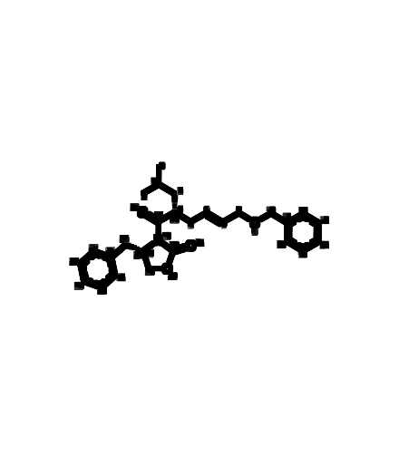 CC(C)C[C@H](CC=CCOCc1ccccc1)C(=O)N1C(=O)OC[C@@H]1Cc1ccccc1